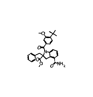 COC(=O)C1(Cc2ccccc2)Cc2c(C(N)=O)cccc2N1C(=O)c1ccc(C(C)(C)C)c(OC)c1